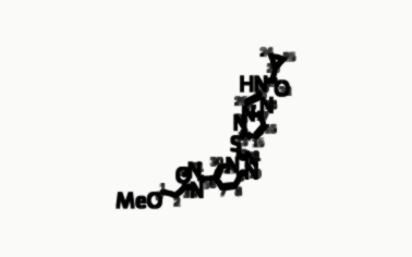 COCCc1nc(-c2ccc3nnc(Sc4ccc5nc(NC(=O)C6CC6)cn5n4)n3c2)no1